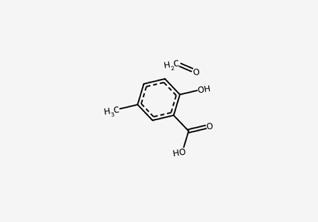 C=O.Cc1ccc(O)c(C(=O)O)c1